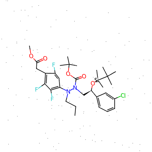 CCCN(c1cc(F)c(CC(=O)OC)c(F)c1F)N(C[C@@H](O[Si](C)(C)C(C)(C)C)c1cccc(Cl)c1)C(=O)OC(C)(C)C